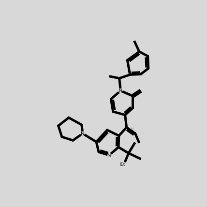 C=C1C=C(/C(=C/C)c2cc(N3CCCCC3)cnc2C(C)(C)CC)C=CN1C(C)c1cccc(C)c1